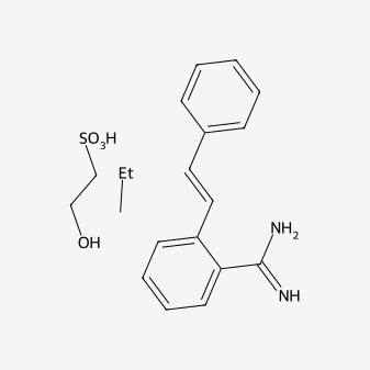 CCC.N=C(N)c1ccccc1C=Cc1ccccc1.O=S(=O)(O)CCO